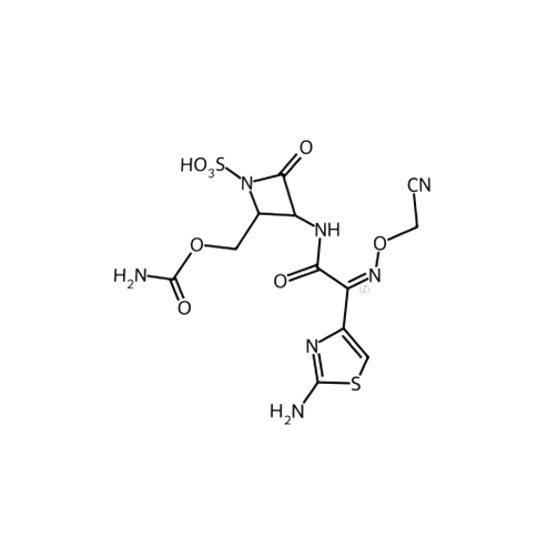 N#CCO/N=C(\C(=O)NC1C(=O)N(S(=O)(=O)O)C1COC(N)=O)c1csc(N)n1